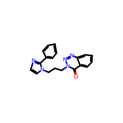 O=c1c2ccccc2nnn1CCCn1ccnc1-c1ccccc1